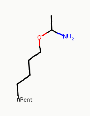 CCCCCCCCCOC(C)N